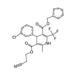 CC1=C(C(=O)OCCC#N)C(c2cccc(Cl)c2)C(C(=O)OCc2ccccc2)=C(C(F)(F)F)N1